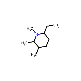 CCC1CCC(C)C(C)N1C